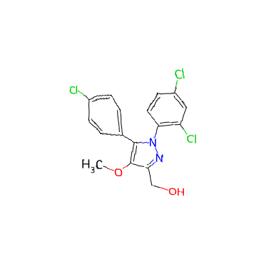 COc1c(CO)nn(-c2ccc(Cl)cc2Cl)c1-c1ccc(Cl)cc1